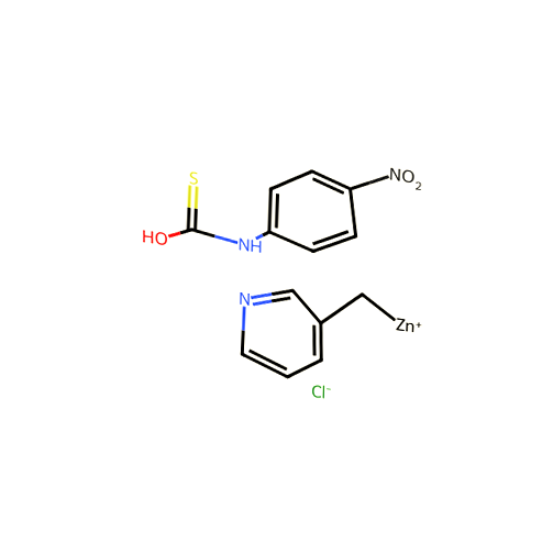 O=[N+]([O-])c1ccc(NC(O)=S)cc1.[Cl-].[Zn+][CH2]c1cccnc1